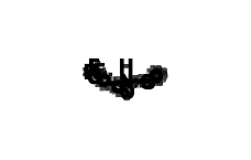 COc1ccc(-c2ccc(OC(F)(F)F)cc2)cc1NCCCCOc1ccccc1